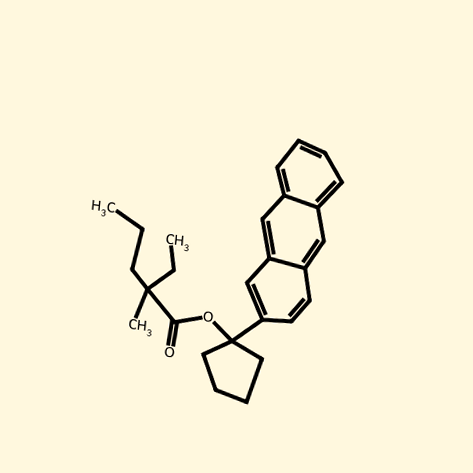 CCCC(C)(CC)C(=O)OC1(c2ccc3cc4ccccc4cc3c2)CCCC1